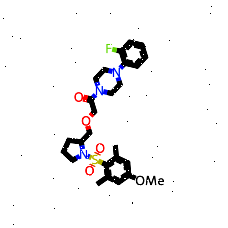 COc1cc(C)c(S(=O)(=O)N2CCCC2COCC(=O)N2CCN(c3ccccc3F)CC2)c(C)c1